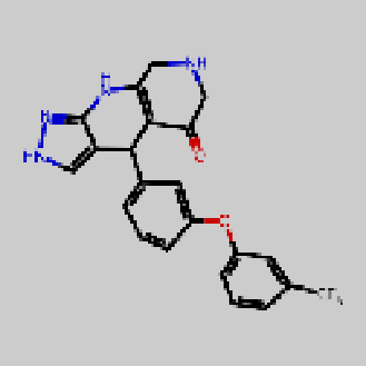 O=C1CNCC2=C1C(c1cccc(Oc3cccc(C(F)(F)F)c3)c1)c1c[nH]nc1N2